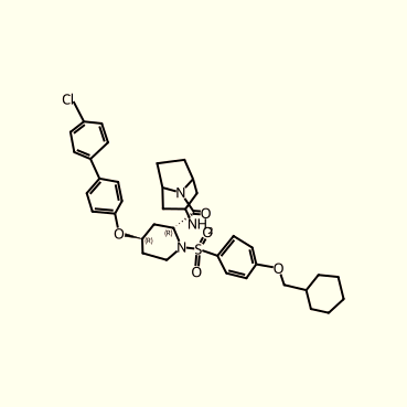 NC1CC2CCC(C1)N2C(=O)[C@H]1C[C@H](Oc2ccc(-c3ccc(Cl)cc3)cc2)CCN1S(=O)(=O)c1ccc(OCC2CCCCC2)cc1